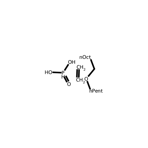 C=C.CCCCCCCCCOCCCCC.O=[PH](O)O